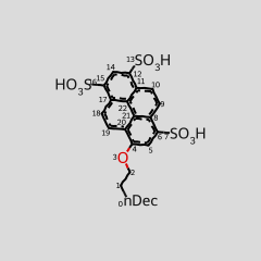 CCCCCCCCCCCCOc1cc(S(=O)(=O)O)c2ccc3c(S(=O)(=O)O)cc(S(=O)(=O)O)c4ccc1c2c43